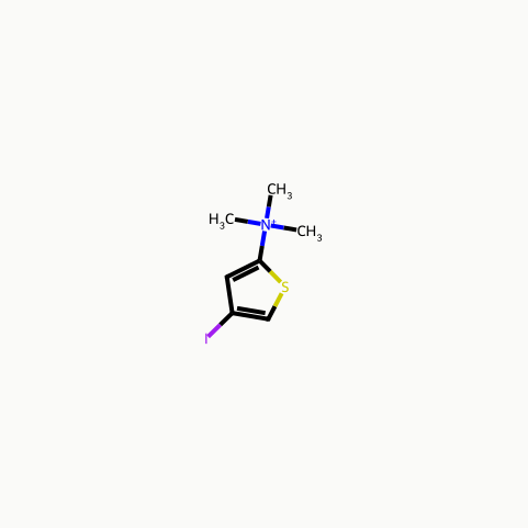 C[N+](C)(C)c1cc(I)cs1